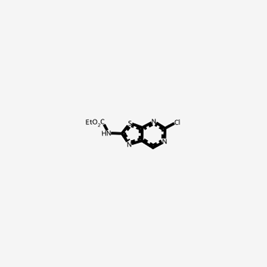 CCOC(=O)Nc1nc2cnc(Cl)nc2s1